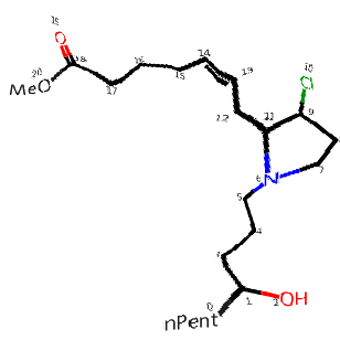 CCCCCC(O)CCCN1CCC(Cl)C1C/C=C\CCCC(=O)OC